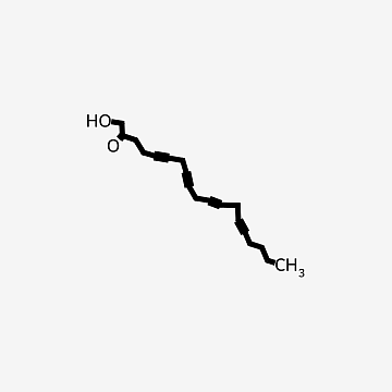 CCCCC#CCC#CCC#CCC#CCCC(=O)CO